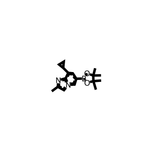 Cc1cn2cc(B3OC(C)(C)C(C)(C)O3)cc(C3CC3)c2n1